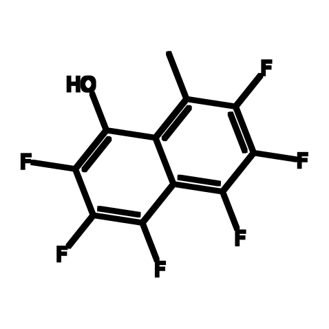 Cc1c(F)c(F)c(F)c2c(F)c(F)c(F)c(O)c12